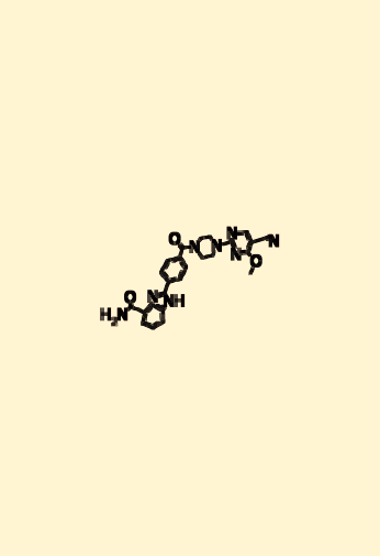 COc1nc(N2CCN(C(=O)c3ccc(-c4nc5c(C(N)=O)cccc5[nH]4)cc3)CC2)ncc1C#N